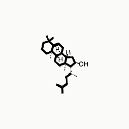 CC(C)CC[C@@H](C)[C@H]1[C@@H](O)C[C@H]2[C@@H]3CC=C4C(C)(C)CCC[C@]4(C)[C@H]3CC[C@]12C